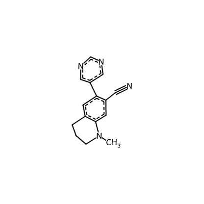 CN1CCCc2cc(-c3cncnc3)c(C#N)cc21